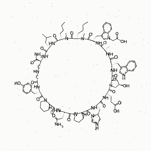 CCCC[C@H]1C(=O)N(C)[C@@H](CCCC)C(=O)N[C@@H](CC(C)C)C(=O)N[C@H](C(N)=O)CNCC(=O)N[C@@H](Cc2ccc(O)cc2)C(=O)N2CCCC[C@H]2C(=O)N[C@@H](CC(N)=O)C(=O)N2CCC[C@H]2C(=O)N[C@@H](Cc2c[nH]cn2)C(=O)N[C@@H](CCC(=O)O)C(=O)N2C[C@H](O)C[C@H]2C(=O)N[C@@H](Cc2c[nH]c3ccccc23)C(=O)N[C@@H](C)C(=O)N[C@@H](Cc2cn(CC(=O)O)c3ccccc23)C(=O)N1C